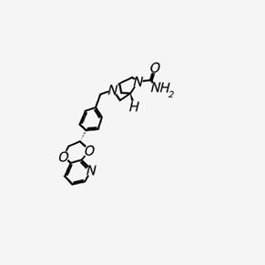 NC(=O)N1CC2C[C@H]1CN2Cc1ccc([C@H]2COc3cccnc3O2)cc1